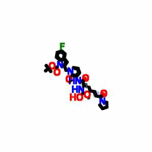 COC(O)N[C@@H](CC/C=C/C(=O)N1CCCC1)C(=O)Nc1cccn(Cc2cc3cc(F)ccc3n2C(=O)OC(C)(C)C)c1=O